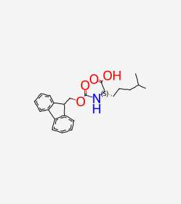 CC(C)CCC[C@H](NC(=O)OCC1c2ccccc2-c2ccccc21)C(=O)O